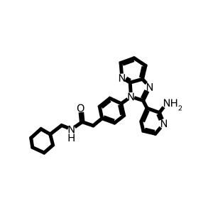 Nc1ncccc1-c1nc2cccnc2n1-c1ccc(CC(=O)NCC2CCCCC2)cc1